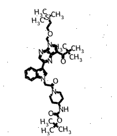 CC(C)(C)OC(=O)NC1CCN(C(=O)Cn2cc(-c3cnc4c(n3)c(C(=O)C(C)(C)C)cn4COCC[Si](C)(C)C)c3ccccc32)CC1